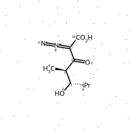 CC(C)[C@H](O)[C@@H](C)C(=O)C(=[N+]=[N-])C(=O)O